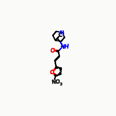 O=C(C=Cc1ccc([N+](=O)[O-])o1)NC1CN2CCC1CC2